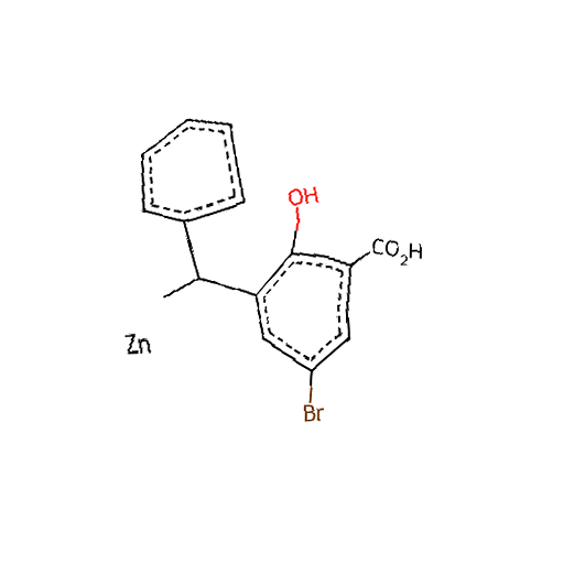 CC(c1ccccc1)c1cc(Br)cc(C(=O)O)c1O.[Zn]